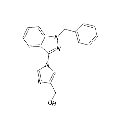 OCc1cn(-c2nn(Cc3ccccc3)c3ccccc23)cn1